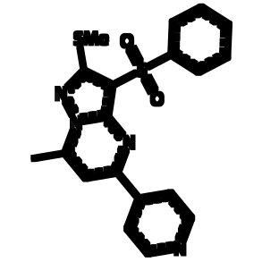 CSc1nn2c(C)cc(-c3ccncc3)nc2c1S(=O)(=O)c1ccccc1